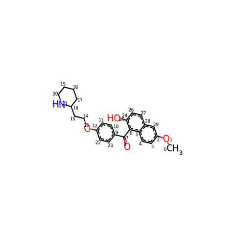 COc1ccc2c(C(=O)c3ccc(OCCC4CCCCN4)cc3)c(O)ccc2c1